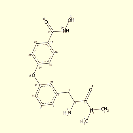 CN(C)C(=O)C(N)Cc1cccc(Oc2ccc(C(=O)NO)cc2)c1